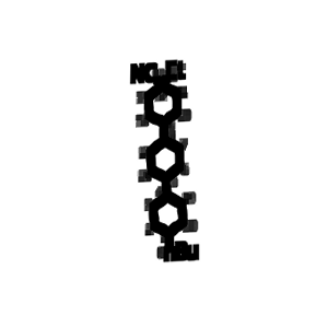 CCCCC1CCC(C2CCC(C3CCC(C#N)(CC)CC3)CC2)CC1